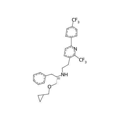 FC(F)(F)c1ccc(-c2ccc(CCN[C@H](COCC3CC3)Cc3ccccc3)c(C(F)(F)F)n2)cc1